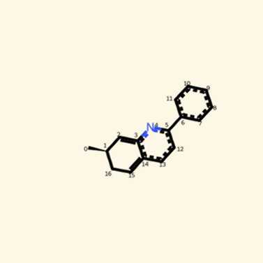 C[C@H]1C=c2nc(-c3ccccc3)ccc2=CC1